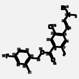 CCN(C)/C=N/c1cc(C)c(C(=O)OCc2ccc(F)cc2C)cc1Cl